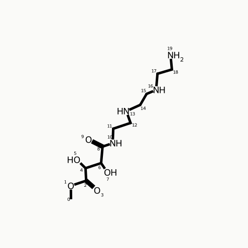 COC(=O)C(O)C(O)C(=O)NCCNCCNCCN